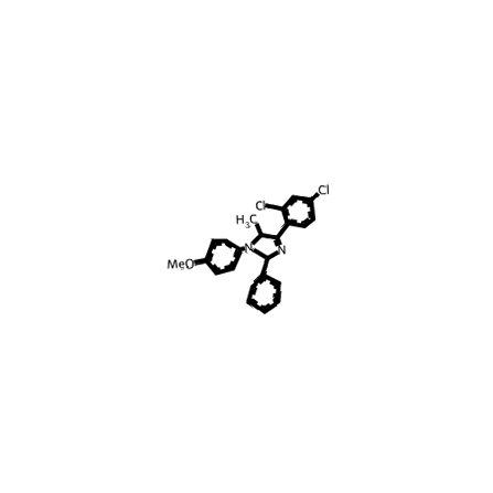 COc1ccc(N2C(C)C(c3ccc(Cl)cc3Cl)=NC2c2ccccc2)cc1